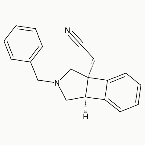 N#CC[C@@]12CN(Cc3ccccc3)C[C@@H]1c1ccccc12